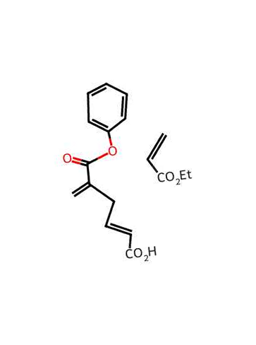 C=C(CC=CC(=O)O)C(=O)Oc1ccccc1.C=CC(=O)OCC